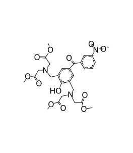 COC(=O)CN(CC(=O)OC)Cc1cc(C(=O)c2cccc([N+](=O)[O-])c2)cc(CN(CC(=O)OC)CC(=O)OC)c1O